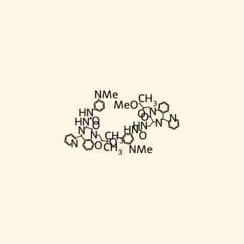 CNc1cc(COC(C)(C)C(=O)CN2C(=O)[C@H](NC(=O)Nc3cccc(NC)c3)N=C(c3ccccn3)c3ccccc32)cc(NC(=O)NCC2N=C(c3ccccn3)c3ccccc3N(CC(=O)[C@@H](C)OC)C2=O)c1